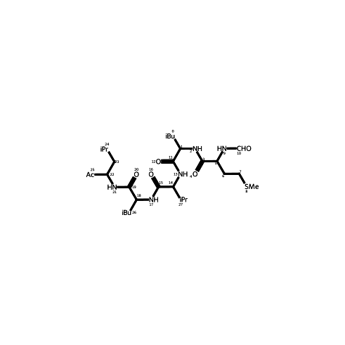 CCC(C)C(NC(=O)C(CCSC)NC=O)C(=O)NC(C(=O)NC(C(=O)NC(CC(C)C)C(C)=O)C(C)CC)C(C)C